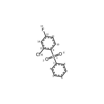 O=S(=O)(c1ccccc1)c1ccc(F)cc1Cl